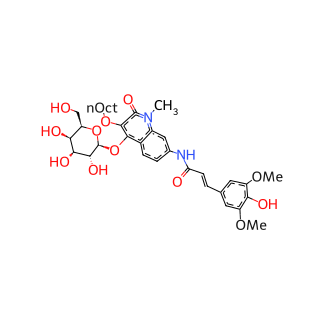 CCCCCCCCOc1c(O[C@@H]2O[C@H](CO)[C@H](O)[C@H](O)[C@H]2O)c2ccc(NC(=O)C=Cc3cc(OC)c(O)c(OC)c3)cc2n(C)c1=O